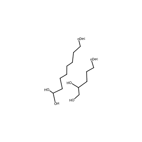 CCCCCCCCCCCCCC(O)CO.CCCCCCCCCCCCCCCCCC(O)O